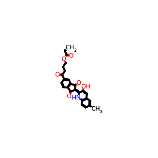 C=CC(=O)OCCCC(=O)c1ccc2c(c1)C(=O)/C(=C1/Nc3ccc(C)cc3C=C1O)C2=O